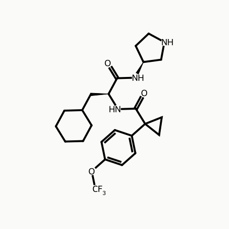 O=C(N[C@H]1CCNC1)[C@H](CC1CCCCC1)NC(=O)C1(c2ccc(OC(F)(F)F)cc2)CC1